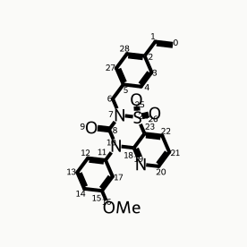 C=Cc1ccc(CN2C(=O)N(c3cccc(OC)c3)c3ncccc3S2(=O)=O)cc1